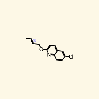 C/C=C/COc1ccc2cc(Cl)ccc2n1